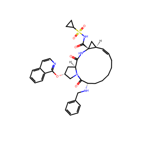 O=C1N[C@]2(C(=O)NS(=O)(=O)C3CC3)C[C@H]2/C=C\CCCCC[C@H](NCc2ccccc2)C(=O)N2C[C@H](Oc3nccc4ccccc34)C[C@@H]12